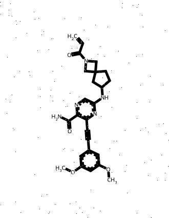 C=CC(=O)N1CC2(CCC(Nc3cnc(C(N)=O)c(C#Cc4cc(OC)cc(OC)c4)n3)C2)C1